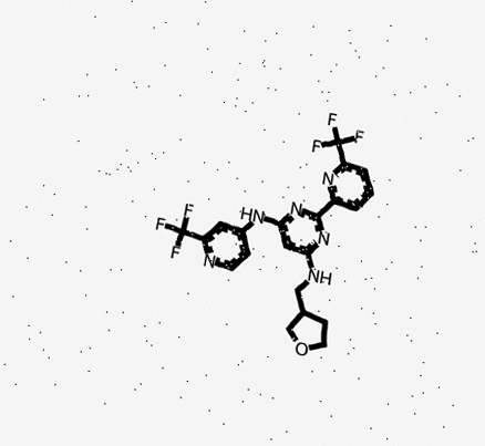 FC(F)(F)c1cc(Nc2cc(NCC3CCOC3)nc(-c3cccc(C(F)(F)F)n3)n2)ccn1